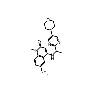 CC(Nc1cc(=O)n(C)c2ccc(N)cc12)c1ncc(N2CCOCC2)cn1